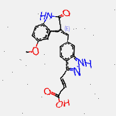 COc1ccc2c(c1)/C(=C\c1ccc3c(C=CC(=O)O)n[nH]c3c1)C(=O)N2